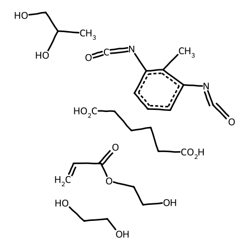 C=CC(=O)OCCO.CC(O)CO.Cc1c(N=C=O)cccc1N=C=O.O=C(O)CCCCC(=O)O.OCCO